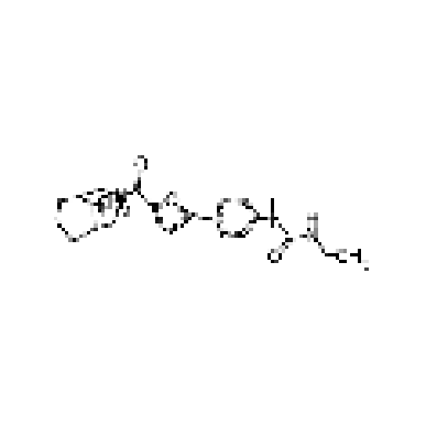 CCNC(=O)Nc1ccc(-c2ccc(C(=O)N3CC4CCCC(C3)N4C)o2)cc1